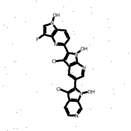 On1cc(F)c2nc(-c3c(Cl)c4cc(-c5c(Cl)c6ccncc6n5O)cnc4n3O)ccc21